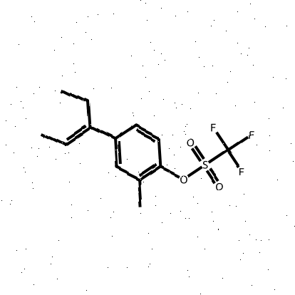 CC=C(CC)c1ccc(OS(=O)(=O)C(F)(F)F)c(C)c1